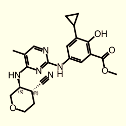 COC(=O)c1cc(Nc2ncc(C)c(N[C@@H]3COCC[C@H]3C#N)n2)cc(C2CC2)c1O